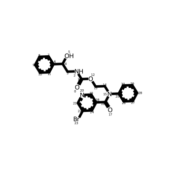 O=C(NCC(O)c1ccccc1)OCCN(C(=O)c1cncc(Br)c1)c1ccccc1